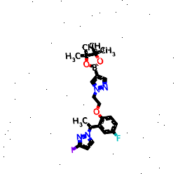 CC(c1cc(F)ccc1OCCn1cc(B2OC(C)(C)C(C)(C)O2)cn1)n1ccc(I)n1